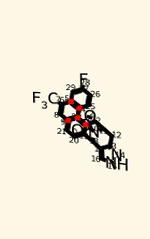 O=S(=O)(c1ccc(C(F)(F)F)cc1)N1C2Cc3n[nH]cc3C1c1cccc(-c3ccc(F)cc3)c1C2